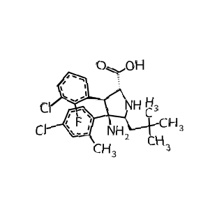 Cc1cc(Cl)ccc1[C@@]1(N)[C@H](CC(C)(C)C)N[C@@H](C(=O)O)[C@@H]1c1cccc(Cl)c1F